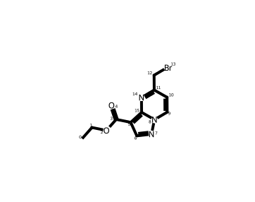 CCOC(=O)c1cnn2ccc(CBr)nc12